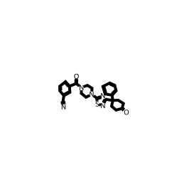 N#Cc1cccc(C(=O)N2CCN(c3nc(C4(c5ccccc5)CCC(=O)CC4)ns3)CC2)c1